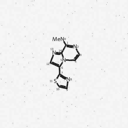 CNc1nccn2c(-c3nccs3)cnc12